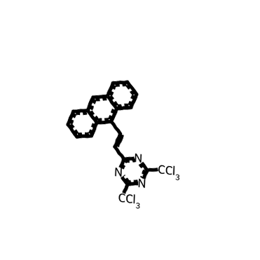 ClC(Cl)(Cl)c1nc(C=Cc2c3ccccc3cc3ccccc23)nc(C(Cl)(Cl)Cl)n1